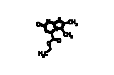 CCOC(=O)c1cc(=O)nc2sc(C)c(C)n12